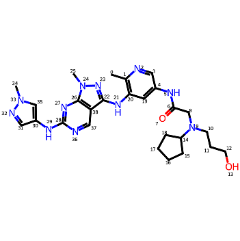 Cc1ncc(NC(=O)CN(CCCO)C2CCCC2)cc1Nc1nn(C)c2nc(Nc3cnn(C)c3)ncc12